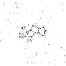 CC1CC=CC=C1B1OC(C)(C)C(C)(C)O1